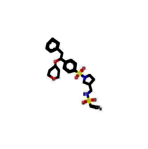 C=CS(=O)(=O)NCC1CCN(S(=O)(=O)c2ccc(C(Cc3ccccc3)OC3CCOCC3)cc2)C1